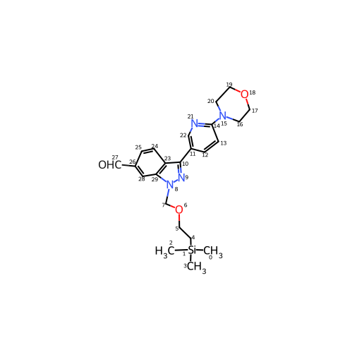 C[Si](C)(C)CCOCn1nc(-c2ccc(N3CCOCC3)nc2)c2ccc(C=O)cc21